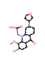 COc1c(Cl)ccc2c(=O)c3ccc(-c4ccoc4)cc3n(CC(=O)O)c12